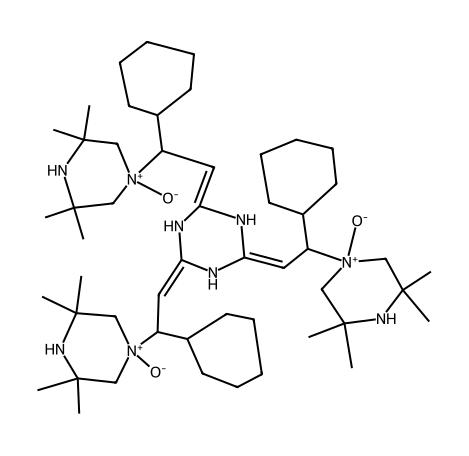 CC1(C)C[N+]([O-])(C(C=C2NC(=CC(C3CCCCC3)[N+]3([O-])CC(C)(C)NC(C)(C)C3)NC(=CC(C3CCCCC3)[N+]3([O-])CC(C)(C)NC(C)(C)C3)N2)C2CCCCC2)CC(C)(C)N1